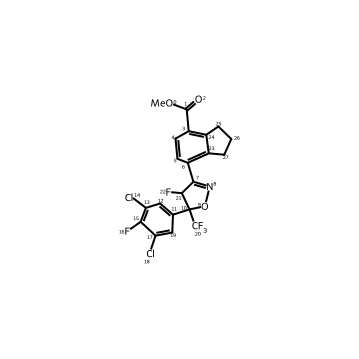 COC(=O)c1ccc(C2=NOC(c3cc(Cl)c(F)c(Cl)c3)(C(F)(F)F)C2F)c2c1CCC2